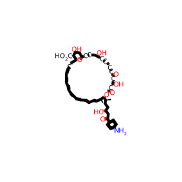 C[C@H]1/C=C/C=C/C=C\C=C/C=C/C=C/C=C/CCC2OC(CCC[C@@H](O)CCCCCC(=O)C[C@@H](O)CC(=O)OC1[C@@H](C)CCC(O)CC(=O)c1ccc(N)cc1)C[C@H](O)[C@H]2C(=O)O